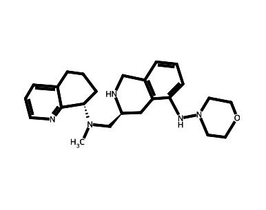 CN(C[C@@H]1Cc2c(cccc2NN2CCOCC2)CN1)[C@H]1CCCc2cccnc21